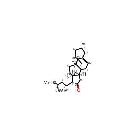 COC(C[C@@H](C)[C@H]1C(=O)C[C@H]2[C@@H]3CC=C4C[C@@H](C)CCC4(C)[C@H]3CC[C@]12C)OC